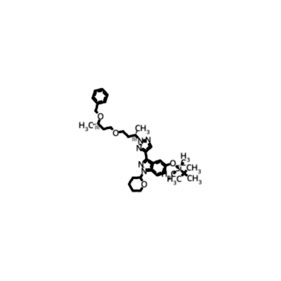 C[C@@H](CCOCC[C@H](C)n1ncc(-c2nn(C3CCCCO3)c3ccc(O[Si](C)(C)C(C)(C)C)cc23)n1)OCc1ccccc1